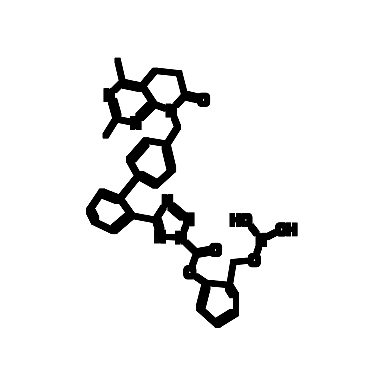 Cc1nc(C)c2c(n1)N(Cc1ccc(-c3ccccc3-c3nnn(C(=O)Oc4ccccc4CON(O)O)n3)cc1)C(=O)CC2